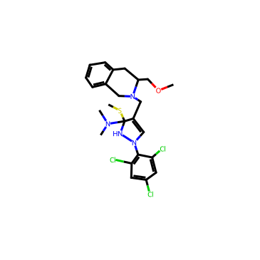 COCC1Cc2ccccc2CN1CC1=CN(c2c(Cl)cc(Cl)cc2Cl)NC1(SC)N(C)C